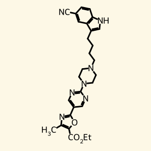 CCOC(=O)c1oc(-c2cnc(N3CCN(CCCCc4c[nH]c5ccc(C#N)cc45)CC3)nc2)nc1C